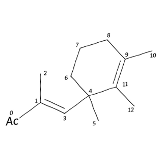 CC(=O)C(C)=CC1(C)CCCC(C)=C1C